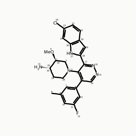 CO[C@H]1CN(c2c(-c3cc(C)cc(F)c3)cnnc2-c2cc3ccc(Cl)cc3[nH]2)CC[C@@H]1N